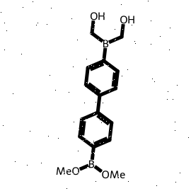 COB(OC)c1ccc(-c2ccc(B(CO)CO)cc2)cc1